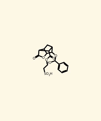 O=C1OC2C3CC(C2OC(O)c2ccccc2)C(C(=O)OCCS(=O)(=O)O)C13